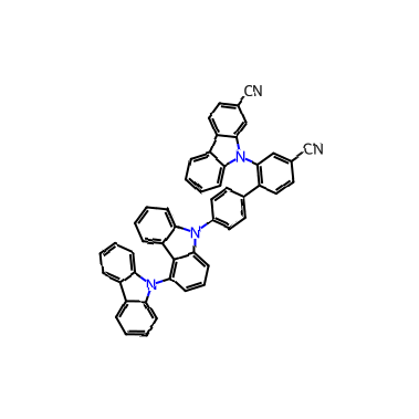 N#Cc1ccc(-c2ccc(-n3c4ccccc4c4c(-n5c6ccccc6c6ccccc65)cccc43)cc2)c(-n2c3ccccc3c3ccc(C#N)cc32)c1